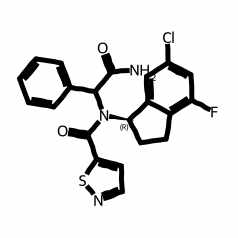 NC(=O)C(c1ccccc1)N(C(=O)c1ccns1)[C@@H]1CCc2c(F)cc(Cl)cc21